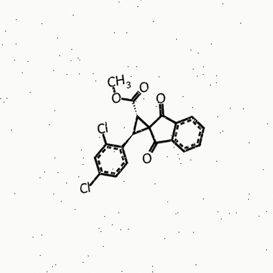 COC(=O)[C@H]1[C@H](c2ccc(Cl)cc2Cl)C12C(=O)c1ccccc1C2=O